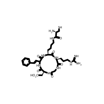 N=C(N)NCCC[C@@H]1NC(=O)[C@H](CCCCNC(=O)[C@H](N)CS)NC(=O)C(/C=C/c2ccccc2)NC(=O)[C@H](CC(=O)O)NC(=O)CNC1=O